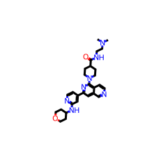 CN(C)CCNC(=O)C1CCN(c2nc(-c3ccnc(NC4CCOCC4)c3)cc3cnccc23)CC1